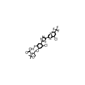 CC1(C)OCC(COc2cc(Cl)c(-c3nnc(-c4cn5cc(C(F)(F)F)cc(Cl)c5n4)s3)cc2F)N1C(=O)O